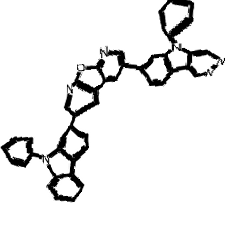 c1ccc(-n2c3ccccc3c3ccc(-c4cnc5oc6ncc(-c7ccc8c9cnncc9n(-c9ccccc9)c8c7)cc6c5c4)cc32)cc1